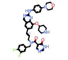 O=C(c1cnc[nH]c1=O)N(C/C=C/c1cc(OC2CCNCC2)c2nc(Nc3ccc(N4CCOCC4)cc3)ncc2c1)Cc1ccc(F)c(F)c1